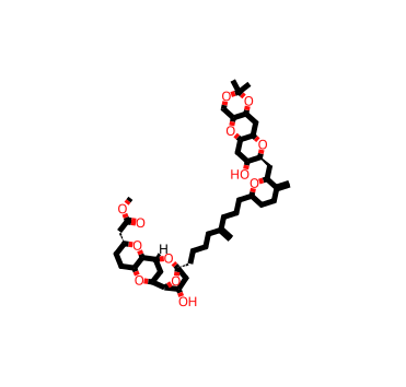 C=C(CCCC[C@]12CC(O)C(O1)C1C[C@@H](O2)C2O[C@@H](CC(=O)OC)CCC2O1)CCCC1CCC(=C)C(C[C@@H]2OC3CC4OC(C)(C)OCC4OC3CC2O)O1